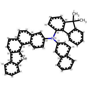 CC1(C)c2ccccc2-c2c(N(c3ccc4ccccc4c3)c3ccc4c(ccc5ccc6c7ccccc7[se]c6c54)c3)cccc21